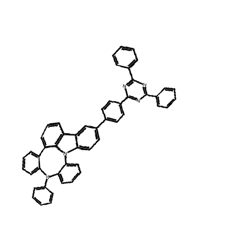 c1ccc(-c2nc(-c3ccccc3)nc(-c3ccc(-c4ccc5c(c4)c4cccc6c7ccccc7n(-c7ccccc7)c7ccccc7n5c64)cc3)n2)cc1